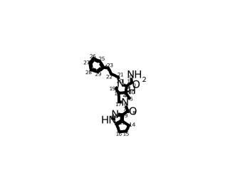 NC(=O)C1[C@@H]2CN(C(=O)c3n[nH]c4c3CCC4)CC2CN1CC[CH]c1ccccc1